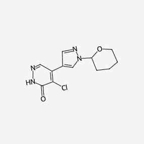 O=c1[nH]ncc(-c2cnn(C3CCCCO3)c2)c1Cl